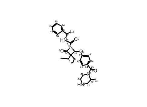 CCC1(CC)C(=O)N(C(=O)NC(I)c2ccccc2)C1Oc1ccc(C(=O)N2CCNCC2C)cc1